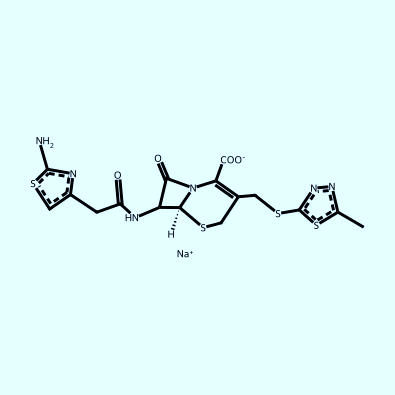 Cc1nnc(SCC2=C(C(=O)[O-])N3C(=O)C(NC(=O)Cc4csc(N)n4)[C@@H]3SC2)s1.[Na+]